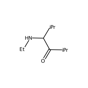 CCNC(C(=O)C(C)C)C(C)C